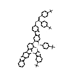 CC(C)(C)c1ccc(/C=C(/Cc2ccc3c(c2)sc2cc(Nc4ccc(C(C)(C)C)cc4)c(-c4ccc5c6cc7sc8ccccc8c7cc6n6c5c4Bc4sc5ccc(C(C)(C)C)cc5c4-6)cc23)c2ccc(C(C)(C)C)cc2)cc1